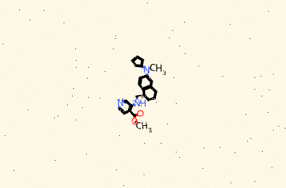 COC(=O)c1ccncc1NC[C@@H]1CCCc2cc(N(C)C3CCCC3)ccc21